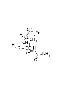 C=CC(=O)O.C=CC(N)=O.CCOC(=O)[N+](C)(C)C.[Cl-]